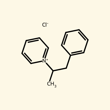 CC(Cc1ccccc1)[n+]1ccccc1.[Cl-]